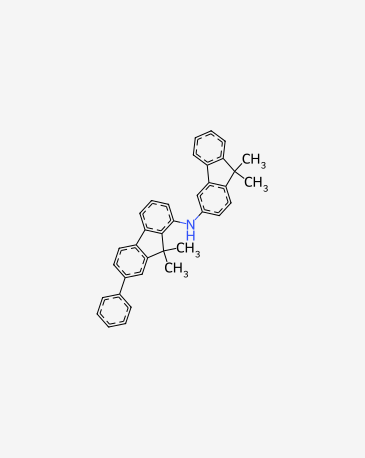 CC1(C)c2ccccc2-c2cc(Nc3cccc4c3C(C)(C)c3cc(-c5ccccc5)ccc3-4)ccc21